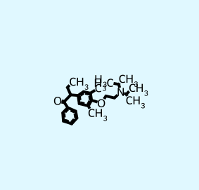 CCC(C(=O)c1ccccc1)c1cc(C)c(OCCN(C(C)C)C(C)C)c(C)c1